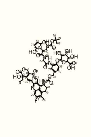 CC[C@@]1(O)C(=O)OCc2c1cc1n(c2=O)Cc2c-1nc1cc(F)c(C)c3c1c2[C@@H](NC(=O)OCc1ccc(O[C@H]2OC(C(=O)O)[C@@H](O)C(O)C2O)c(NC(=O)CN(C)C(=O)[C@H](CNC(=O)OC(C)(C)C)N2C(=O)C=CC2O)c1)CC3